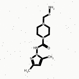 Cc1cc(C)n(NC(=O)N2CCN(CSN)CC2)n1